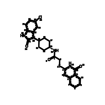 O=C(CSc1nc2ccccc2c(=O)[nH]1)N[C@H]1CC[C@H](n2c(=O)[nH]c3ccc(Cl)cc32)CC1